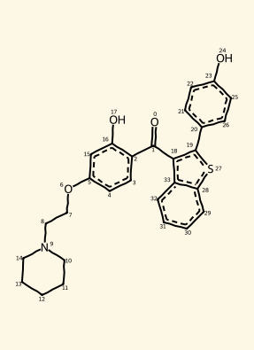 O=C(c1ccc(OCCN2CCCCC2)cc1O)c1c(-c2ccc(O)cc2)sc2ccccc12